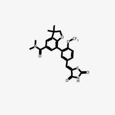 CN(C)C(=O)c1cc(-c2cc(/C=C3\SC(=O)NC3=O)ccc2OC(F)(F)F)c2c(c1)C(C)(C)CO2